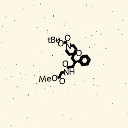 COC(=O)CNC(=O)CC1CC2(CCN(C(=O)OC(C)(C)C)CC2)Oc2ccccc21